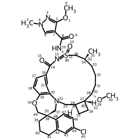 COc1nn(C)cc1C(=O)N[S@@]1(=O)=NC(=O)c2ccc3c(c2)N(C[C@@H]2CC[C@H]2[C@@H](OC)CCC[C@H](C)C1)C[C@@]1(CCCc2cc(Cl)ccc21)CO3